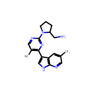 N#Cc1cnc(N2CCCC2CN)nc1-c1c[nH]c2ncc(C(F)(F)F)cc12